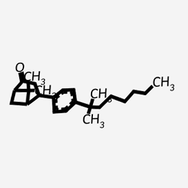 CCCCCCC(C)(C)c1ccc(C2CC(=O)C3CC2C3(C)C)cc1